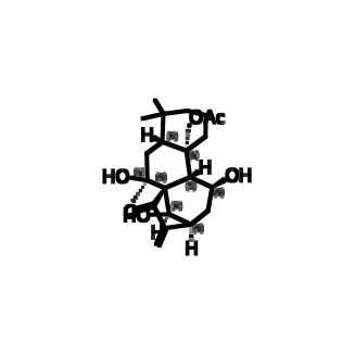 C=C1C(=O)[C@]23[C@H](O)[C@H]1C[C@H](O)[C@H]2[C@]1(COC(C)=O)CCCC(C)(C)[C@H]1C[C@]3(C)O